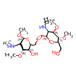 CNC1[C@@H](OC)OC(CO[C@@H]2OC(CO)[C@@H](OC)[C@H](OC)C2NC)[C@@H](O)[C@@H]1OC